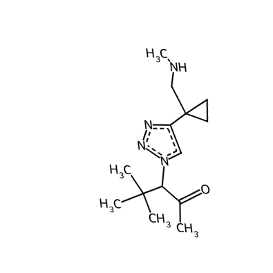 CNCC1(c2cn(C(C(C)=O)C(C)(C)C)nn2)CC1